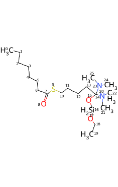 CCCCCCCC(=O)SCCCCC(O[SiH2]OCC)(N(C)C)N(C)C